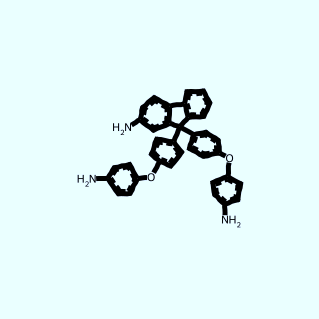 Nc1ccc(Oc2ccc(C3(c4ccc(Oc5ccc(N)cc5)cc4)c4ccccc4-c4ccc(N)cc43)cc2)cc1